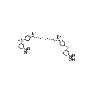 O=[N+]([O-])c1cccc(Nc2cc[n+](C(Br)CCCCCCCCCC(Br)[n+]3ccc(Nc4cccc([N+](=O)O)c4)cc3)cc2)c1